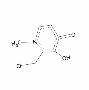 Cn1ccc(=O)c(O)c1CCl